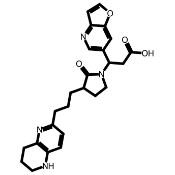 O=C(O)CC(c1cnc2ccoc2c1)N1CCC(CCCc2ccc3c(n2)CCCN3)C1=O